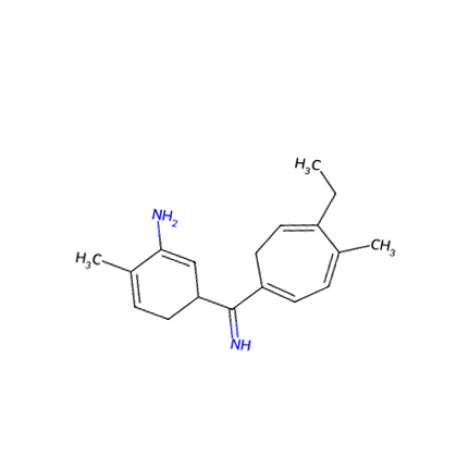 CCC1=CCC(C(=N)C2C=C(N)C(C)=CC2)=CC=C1C